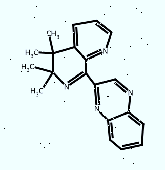 CC1(C)N=C(c2cnc3ccccc3n2)c2ncccc2C1(C)C